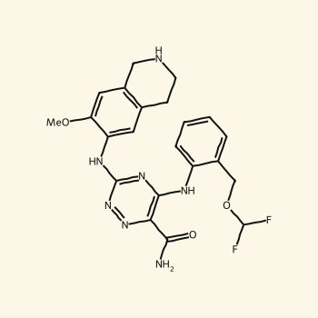 COc1cc2c(cc1Nc1nnc(C(N)=O)c(Nc3ccccc3COC(F)F)n1)CCNC2